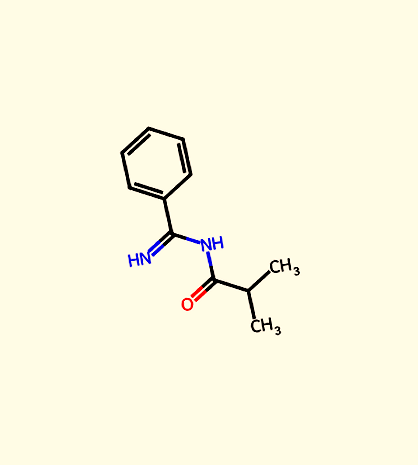 CC(C)C(=O)NC(=N)c1ccccc1